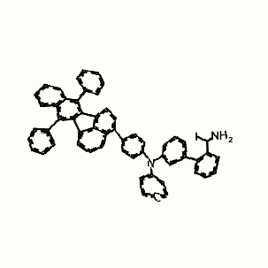 NC(I)c1ccccc1-c1cccc(N(c2ccccc2)c2ccc(-c3ccc4c5c(cccc35)-c3c-4c(-c4ccccc4)c4ccccc4c3-c3ccccc3)cc2)c1